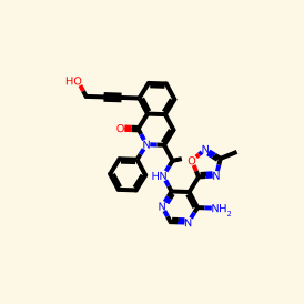 Cc1noc(-c2c(N)ncnc2NC(C)c2cc3cccc(C#CCO)c3c(=O)n2-c2ccccc2)n1